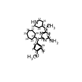 COc1ccc(N(c2nc(N)nc(N(C)C3CCNCC3)n2)C2CCCCCC2)cc1F